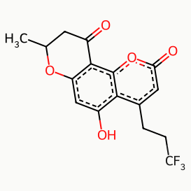 CC1CC(=O)c2c(cc(O)c3c(CCC(F)(F)F)cc(=O)oc23)O1